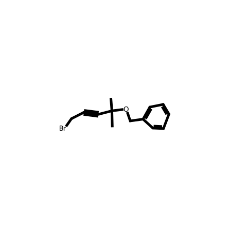 CC(C)(C#CCBr)OCc1ccccc1